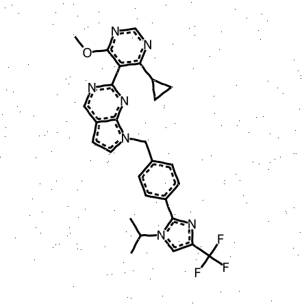 COc1ncnc(C2CC2)c1-c1ncc2ccn(Cc3ccc(-c4nc(C(F)(F)F)cn4C(C)C)cc3)c2n1